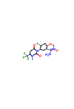 Cn1c(C(F)(F)F)cc(=O)n(-c2cc3c(cc2F)OC[NH+]([O-])C3N)c1=O